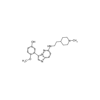 COc1ccc(O)cc1-c1cnc2ccc(NCCC3CCN(C)CC3)nn12